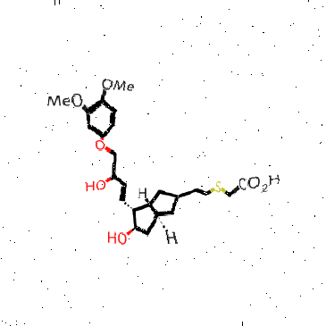 COc1ccc(OCC(O)C=C[C@@H]2[C@@H]3CC(CCSCC(=O)O)C[C@H]3C[C@H]2O)cc1OC